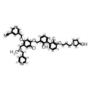 Cc1c(COc2cc(OCc3cncc(C#N)c3)c(CN(C)Cc3ccncc3)cc2Cl)cccc1-c1cccc(OCCCN2CCC(O)C2)c1C